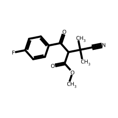 COC(=O)C(C(=O)c1ccc(F)cc1)C(C)(C)C#N